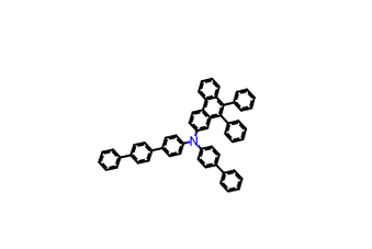 c1ccc(-c2ccc(-c3ccc(N(c4ccc(-c5ccccc5)cc4)c4ccc5c(c4)c(-c4ccccc4)c(-c4ccccc4)c4ccccc45)cc3)cc2)cc1